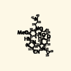 C=CC(=O)Nc1cc(Nc2ncc(C#N)c(-c3cn(C4CC4)c4cc5c(cc34)OCO5)n2)c(OC)cc1N(C)CCN(C)C